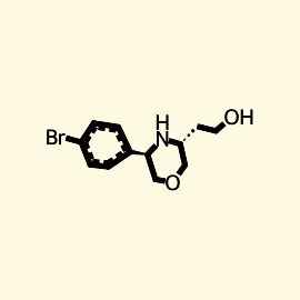 OCC[C@@H]1COC[C@@H](c2ccc(Br)cc2)N1